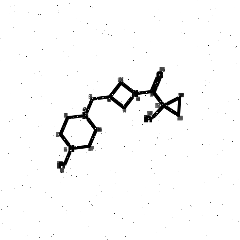 CC(C)N1CCN(CC2CN(C(=O)C3(C(C)C)CC3)C2)CC1